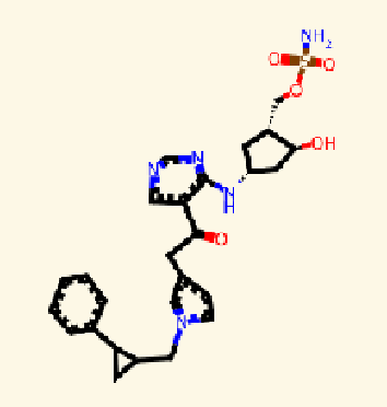 NS(=O)(=O)OC[C@H]1C[C@@H](Nc2ncncc2C(=O)Cc2ccn(CC3CC3c3ccccc3)c2)C[C@@H]1O